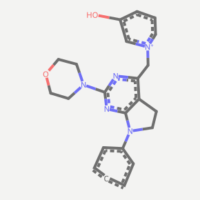 Oc1ccc[n+](Cc2nc(N3CCOCC3)nc3c2CCN3c2ccccc2)c1